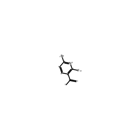 C=C(C)c1ccc(Br)nc1F